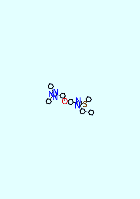 c1ccc(Sc2cnc(-c3ccc(Oc4cccc(-c5nc(-c6ccccc6)nc(-c6ccccc6)n5)c4)cc3)nc2-c2cccc(-c3ccccc3)c2)cc1